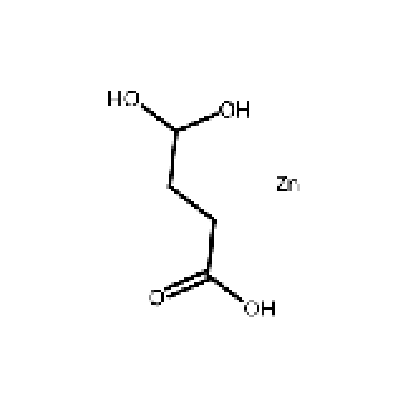 O=C(O)CCC(O)O.[Zn]